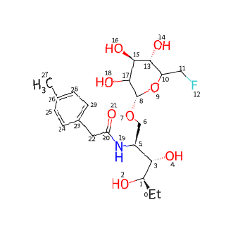 CC[C@@H](O)[C@@H](O)[C@H](CO[C@H]1OC(CF)[C@@H](O)[C@H](O)C1O)NC(=O)Cc1ccc(C)cc1